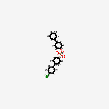 O=S(=O)(Oc1ccc(-c2ccccc2)cc1)c1ccc(-c2ccc(Br)cc2)cc1